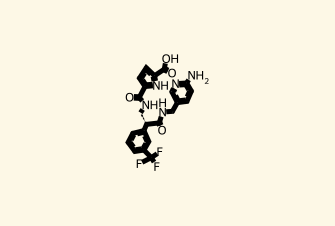 Nc1ccc(CNC(=O)[C@@H](CNC(=O)c2ccc(C(=O)O)[nH]2)c2cccc(C(F)(F)F)c2)cn1